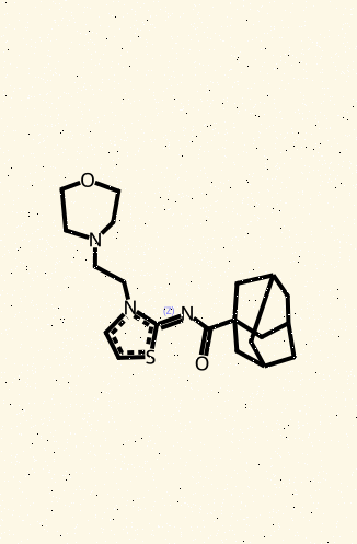 O=C(/N=c1\sccn1CCN1CCOCC1)C12CC3CC(CC(C3)C1)C2